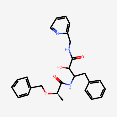 C[C@@H](OCc1ccccc1)C(=O)NC(Cc1ccccc1)C(O)C(=O)NCc1ccccn1